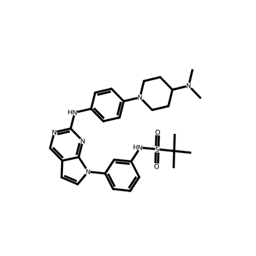 CN(C)C1CCN(c2ccc(Nc3ncc4ccn(-c5cccc(NS(=O)(=O)C(C)(C)C)c5)c4n3)cc2)CC1